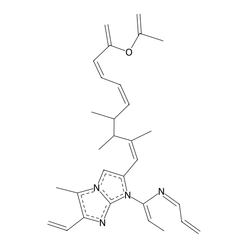 C=C/C=N\C(=C/C)n1c(/C=C(/C)C(C)C(C)/C=C\C=C/C(=C)OC(=C)C)cn2c(C)c(C=C)nc12